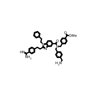 COC(=O)c1ccc(CN(Cc2ccc(CN)cc2)C(=O)c2ccc3c(c2)nc(CCc2ccc(C(=N)N)cc2)n3CCc2ccccc2)cc1